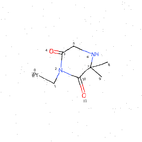 CC(C)CN1C(=O)CNC(C)(C)C1=O